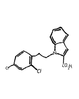 O=C(O)c1cc2ccccc2n1CCc1ccc(Cl)cc1Cl